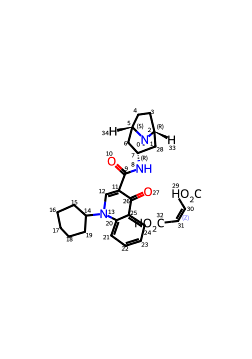 CN1[C@@H]2CC[C@H]1C[C@@H](NC(=O)c1cn(C3CCCCC3)c3ccccc3c1=O)C2.O=C(O)/C=C\C(=O)O